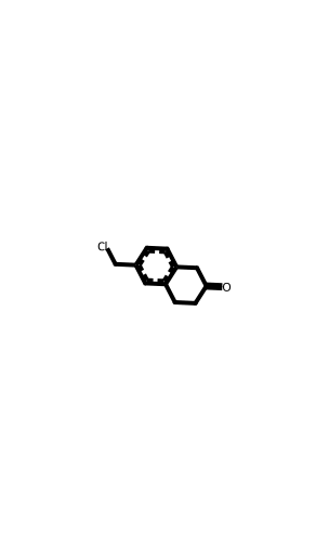 O=C1CCc2cc(CCl)ccc2C1